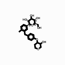 Cc1ccc([C@@H]2O[C@H](CO)[C@@H](O)C(O)[C@H]2O)cc1Cc1ccc(OC2CCOCC2O)cc1